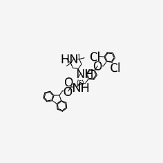 CC1(C)CC(NC[C@H](Cc2ccc(OCc3c(Cl)cccc3Cl)cc2)NC(=O)OCC2c3ccccc3-c3ccccc32)CC(C)(C)N1